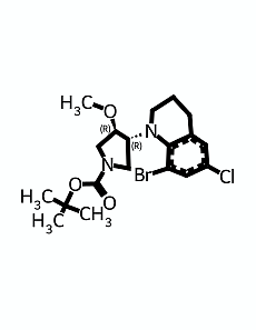 CO[C@@H]1CN(C(=O)OC(C)(C)C)C[C@H]1N1CCCc2cc(Cl)cc(Br)c21